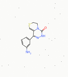 Nc1cccc(C2=NNC(=O)N3CCSC=C23)c1